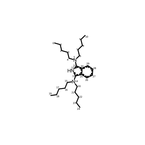 CCCCCN(CCCCC)c1[nH]c(N(CCCCC)CCCCC)c2ccccc12